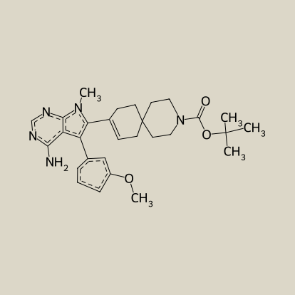 COc1cccc(-c2c(C3=CCC4(CC3)CCN(C(=O)OC(C)(C)C)CC4)n(C)c3ncnc(N)c23)c1